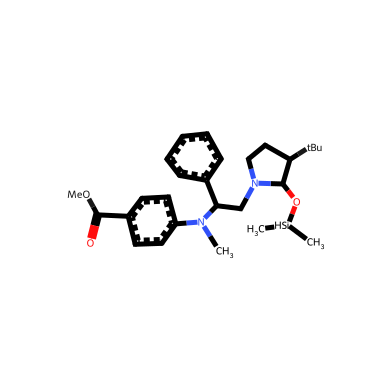 COC(=O)c1ccc(N(C)C(CN2CCC(C(C)(C)C)C2O[SiH](C)C)c2ccccc2)cc1